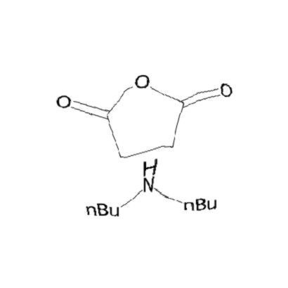 CCCCNCCCC.O=C1CCC(=O)O1